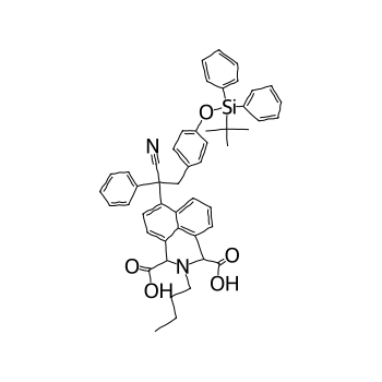 CCCCN1C(C(=O)O)c2cccc3c(C(C#N)(Cc4ccc(O[Si](c5ccccc5)(c5ccccc5)C(C)(C)C)cc4)c4ccccc4)ccc(c23)C1C(=O)O